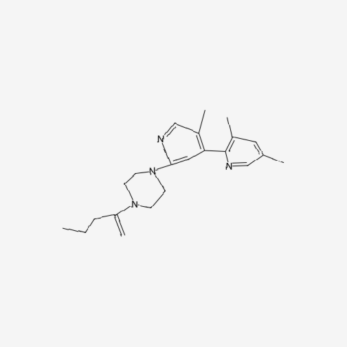 C=C(CCC)N1CCN(c2cc(-c3ncc(C)cc3C)c(C)cn2)CC1